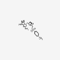 Cc1ccc(S(=O)(=O)CCn2cc(Cc3cc(N)nc4[nH]nnc34)cn2)cc1